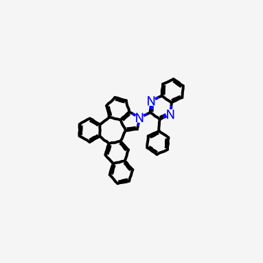 c1ccc(-c2nc3ccccc3nc2-n2cc3c4c(cccc42)-c2ccccc2-c2cc4ccccc4cc2-3)cc1